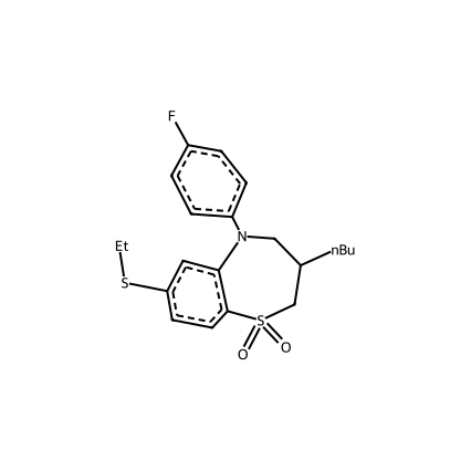 CCCCC1CN(c2ccc(F)cc2)c2cc(SCC)ccc2S(=O)(=O)C1